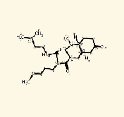 COCCCN(C(=O)NCCN(C)C)C(=O)[C@@H]1C[C@@H]2CC(=O)CC[C@H]2N(C)C1